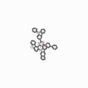 c1ccc(-c2ccc(-c3nc(-c4ccc5c(c4)c4ccccc4n5-c4ccccc4)nc(-c4c(-n5c6ccccc6c6cc7ccccc7cc65)ccc5oc6ccccc6c45)n3)cc2)cc1